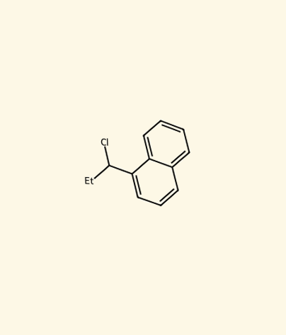 CCC(Cl)c1cccc2ccccc12